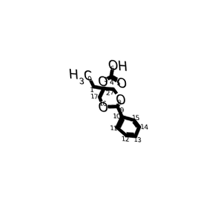 CCC1(OC(=O)O)COC(c2ccccc2)OC1